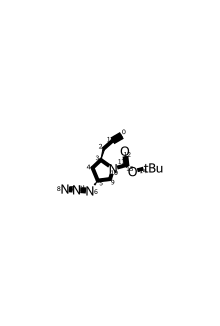 C#CC[C@@H]1C[C@@H](N=[N+]=[N-])CN1C(=O)OC(C)(C)C